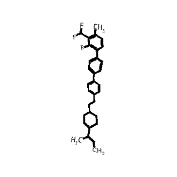 CCC(C)C1CCC(CCc2ccc(-c3ccc(-c4ccc(C)c(C(F)F)c4F)cc3)cc2)CC1